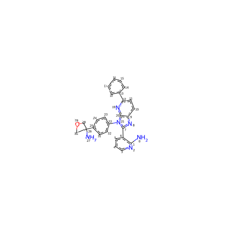 Nc1ncccc1-c1nc2ccc(-c3ccccc3)nc2n1-c1ccc(C2(N)COC2)cc1